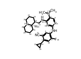 CN(C)c1cnc(Nc2cc(C#N)c(C3CC3)cc2F)nc1NC[C@@H]1CCCN2CCCC[C@H]12